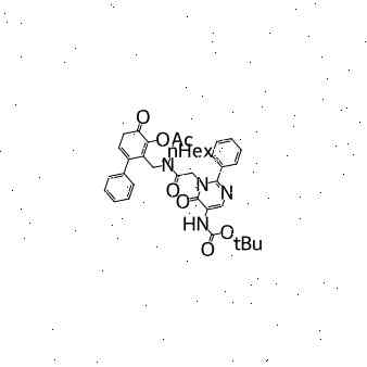 CCCCCCN(CC1=C(OC(C)=O)C(=O)CC=C1c1ccccc1)C(=O)Cn1c(-c2ccccc2)ncc(NC(=O)OC(C)(C)C)c1=O